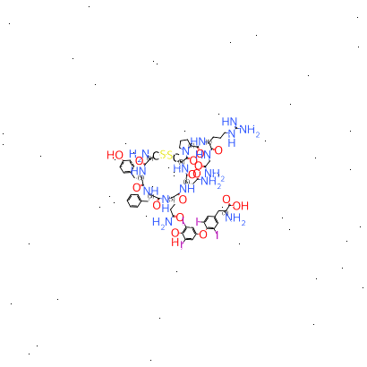 N=C(N)NCCC[C@H](NC(=O)[C@@H]1CCCN1C(=O)[C@@H]1CSSC[C@H](N)C(=O)N[C@@H](Cc2ccc(O)cc2)C(=O)N[C@@H](Cc2ccccc2)C(=O)N[C@@H](CCC(N)=O)C(=O)N[C@@H](CC(N)=O)C(=O)N1)C(=O)NCC(N)=O.N[C@@H](Cc1cc(I)c(Oc2cc(I)c(O)c(I)c2)c(I)c1)C(=O)O